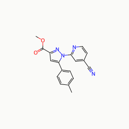 COC(=O)c1cc(-c2ccc(C)cc2)n(-c2cc(C#N)ccn2)n1